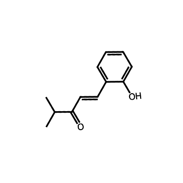 CC(C)C(=O)/C=C/c1ccccc1O